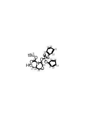 CC(C)(C)OC(=O)N1C(OP(=O)(Oc2ccccc2)Oc2ccccc2)COC[C@H]1CO